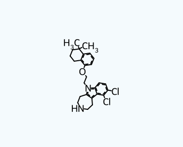 CC1(C)CCCc2c(OCCn3c4c(c5c(Cl)c(Cl)ccc53)CCNCC4)cccc21